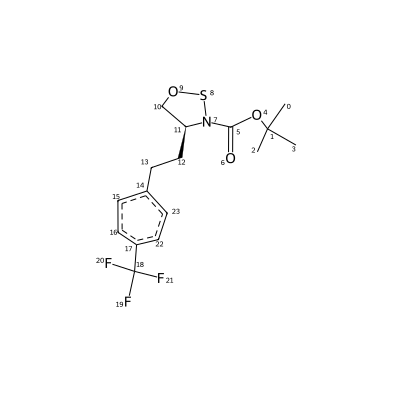 CC(C)(C)OC(=O)N1SOC[C@@H]1CCc1ccc(C(F)(F)F)cc1